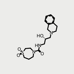 O=C(NC[C@H](O)CN1CCc2ccccc2C1)N1CCCS(=O)(=O)CC1